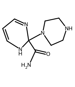 NC(=O)C1(N2CCNCC2)N=CC=CN1